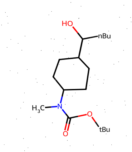 CCCCC(O)C1CCC(N(C)C(=O)OC(C)(C)C)CC1